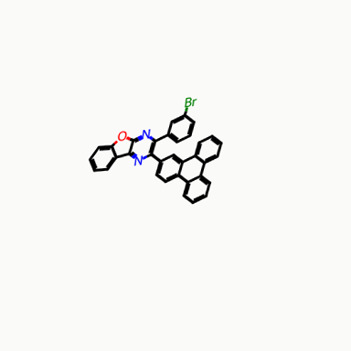 Brc1cccc(-c2nc3oc4ccccc4c3nc2-c2ccc3c4ccccc4c4ccccc4c3c2)c1